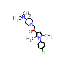 Cc1cc(C(=O)CN2CCC(N(C)C)CC2)c(C)n1-c1ccc(Cl)cc1